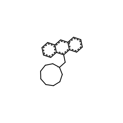 c1ccc2c(C[C]3CCCCCCCC3)c3ccccc3cc2c1